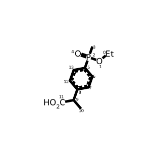 CCOP(C)(=O)c1ccc(C(C)C(=O)O)cc1